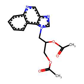 CC(=O)OCC(Cn1cnc2cnc3ccccc3c21)OC(C)=O